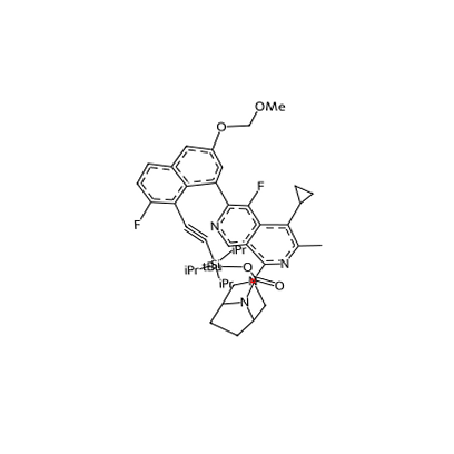 COCOc1cc(-c2ncc3c(N4CC5CCC(C4)N5C(=O)OC(C)(C)C)nc(C)c(C4CC4)c3c2F)c2c(C#C[Si](C(C)C)(C(C)C)C(C)C)c(F)ccc2c1